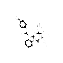 CN1C(=O)N2C(=NC1(C)C)N(C(=O)Nc1ccc(Cl)cc1)c1ccccc12